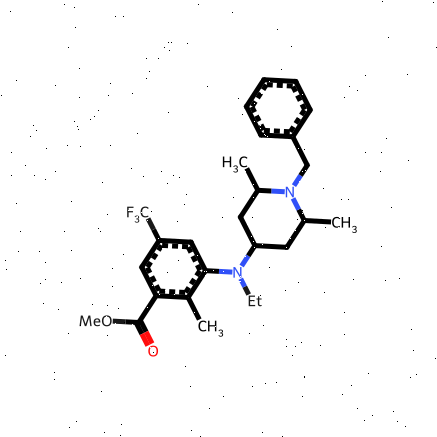 CCN(c1cc(C(F)(F)F)cc(C(=O)OC)c1C)C1CC(C)N(Cc2ccccc2)C(C)C1